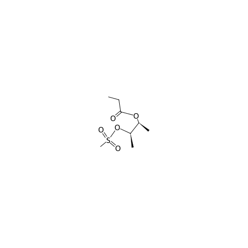 CCC(=O)O[C@@H](C)[C@@H](C)OS(C)(=O)=O